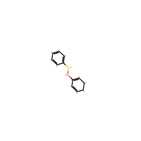 C1=CC(OSc2ccccc2)=CCC1